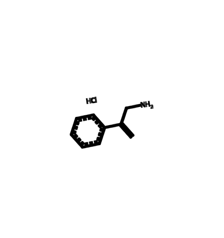 C=C(CN)c1ccccc1.Cl